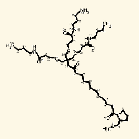 COCC1CCCN1C(=O)CCCCCCCCCCC(=O)CC(COCCC(=O)NCCCN)(COCCC(=O)NCCCN)COCCC(=O)NCCCN